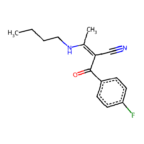 CCCCNC(C)=C(C#N)C(=O)c1ccc(F)cc1